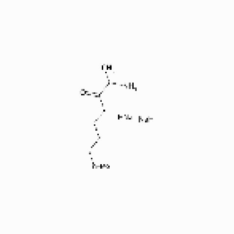 [CH2]C(N)C(=O)CCCCCCCCCC.[NaH].[NaH]